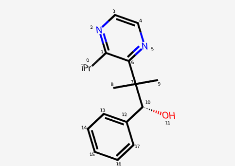 CC(C)c1nccnc1C(C)(C)[C@H](O)c1ccccc1